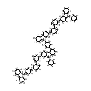 c1ccc(-n2c3ccccc3c3cc(-c4ccnc(-c5cc(-c6ccc7c8ccccc8n(-c8ccc(-c9cccc%10c9c9ccc(-c%11ccnc(-c%12cc(-c%13ccc(-n%14c%15ccccc%15c%15ccccc%15%14)cc%13)ccn%12)c%11)cc9n%10-c9ccccc9)cc8)c7c6)ccn5)c4)ccc32)cc1